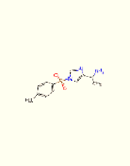 Cc1ccc(S(=O)(=O)n2cnc(C(C)N)c2)cc1